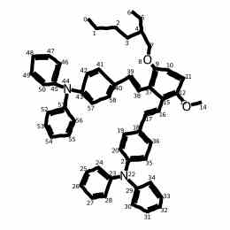 CCCCC(CC)COc1ccc(OC)c(C=Cc2ccc(N(c3ccccc3)c3ccccc3)cc2)c1C=Cc1ccc(N(c2ccccc2)c2ccccc2)cc1